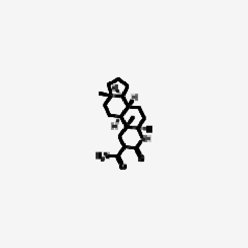 C[C@@]12CCC[C@H]1[C@@H]1CC[C@H]3NC(=O)C(C(N)=O)C[C@]3(C)[C@H]1CC2